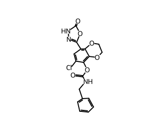 O=C(NCc1ccccc1)Oc1c(Cl)cc(-c2n[nH]c(=O)o2)c2c1OCCO2